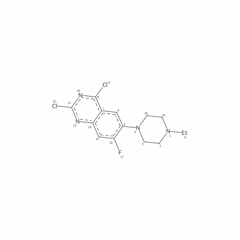 CCN1CCN(c2cc3c(Cl)nc(Cl)nc3cc2F)CC1